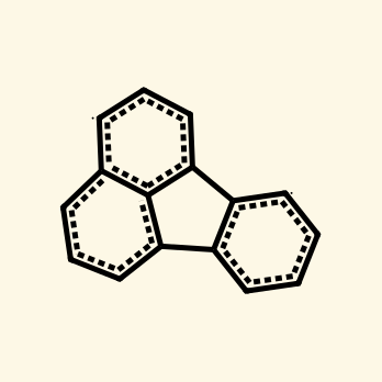 [c]1cccc2c1-c1cc[c]c3cccc-2c13